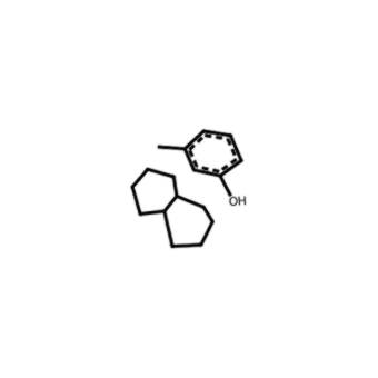 C1CCC2CCCCC2C1.Cc1cccc(O)c1